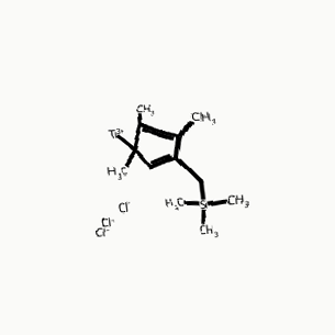 CC1=C(C)[C](C)([Ti+3])C=C1C[Si](C)(C)C.[Cl-].[Cl-].[Cl-]